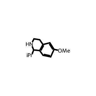 COc1ccc2c(c1)CCNC2C(C)C